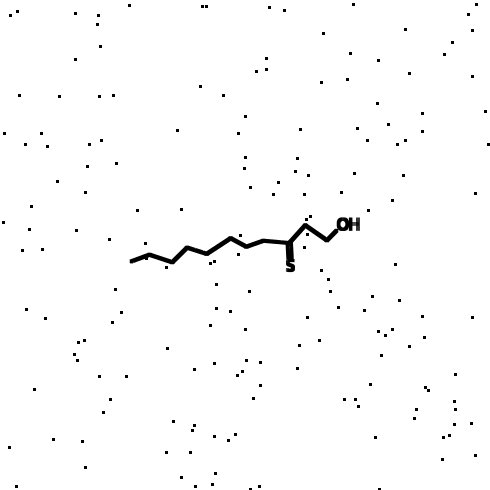 CCCCCCCCC(=S)CCO